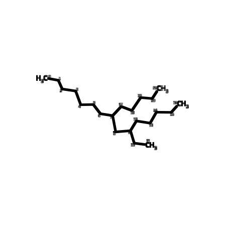 CCCCCCCC([CH]C(CC)CCCCC)CCCCC